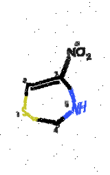 O=[N+]([O-])C1=CS[C]N1